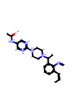 C=Nc1c(/C=C\C)cccc1C(C)N1CCN(c2ncc(NC(C)=O)cn2)CC1